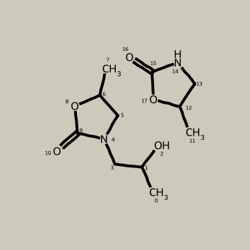 CC(O)CN1CC(C)OC1=O.CC1CNC(=O)O1